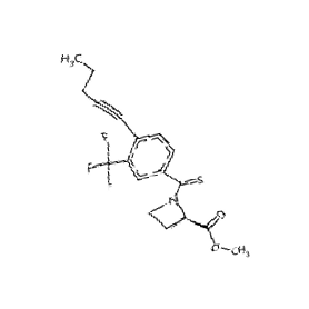 CCCC#Cc1ccc(C(=S)N2CC[C@@H]2C(=O)OC)cc1C(F)(F)F